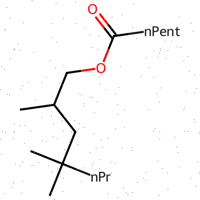 CCCCCC(=O)OCC(C)CC(C)(C)CCC